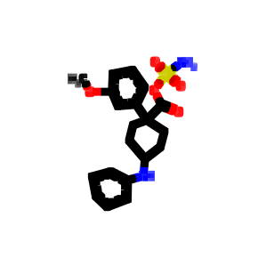 COc1cccc(C2(C(=O)OS(N)(=O)=O)CCC(Nc3ccccc3)CC2)c1